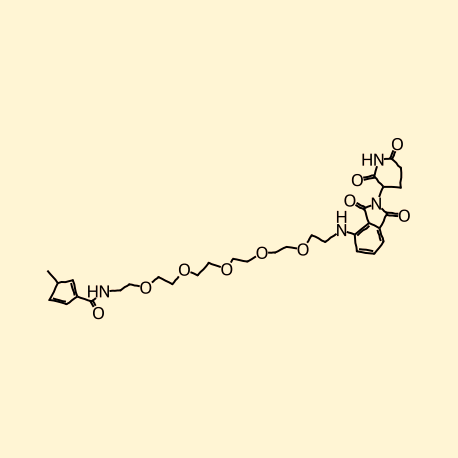 CC1C=CC(C(=O)NCCOCCOCCOCCOCCOCCNc2cccc3c2C(=O)N(C2CCC(=O)NC2=O)C3=O)=C1